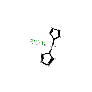 C1=C[CH]([Ti+3][CH]2C=CC=C2)C=C1.[Cl-].[Cl-].[Cl-]